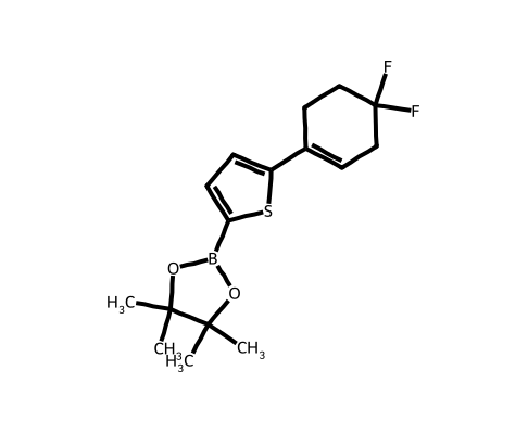 CC1(C)OB(c2ccc(C3=CCC(F)(F)CC3)s2)OC1(C)C